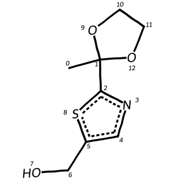 CC1(c2ncc(CO)s2)OCCO1